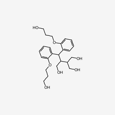 OCCCOc1ccccc1C(c1ccccc1OCCCO)C(CO)C(CO)CO